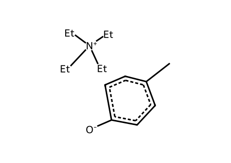 CC[N+](CC)(CC)CC.Cc1ccc([O-])cc1